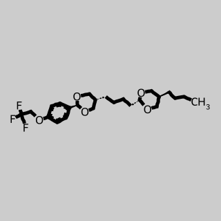 CCCC[C@H]1CO[C@H](CCCC[C@H]2CO[C@H](c3ccc(OCC(F)(F)F)cc3)OC2)OC1